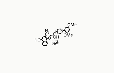 COc1ccc(OC)c(N2CCN(CC(O)COc3c(C)cc(O)c4ccccc34)CC2)c1.Cl.Cl